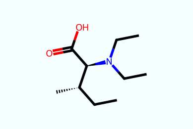 CC[C@H](C)[C@@H](C(=O)O)N(CC)CC